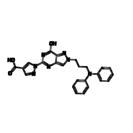 O=C(O)c1cnn(-c2nc(O)c3nn(CCCN(c4ccccc4)c4ccccc4)cc3n2)c1